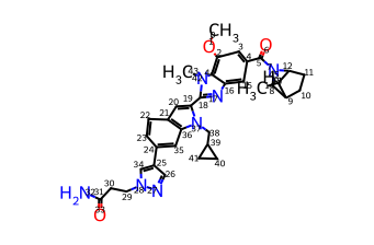 COc1cc(C(=O)N2CC3CCC2[C@@H]3C)cc2nc(-c3cc4ccc(-c5cnn(CCC(N)=O)c5)cc4n3CC3CC3)n(C)c12